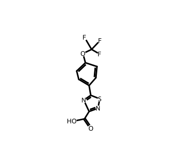 O=C(O)c1nsc(-c2ccc(OC(F)(F)F)cc2)n1